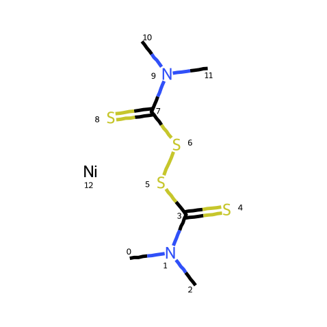 CN(C)C(=S)SSC(=S)N(C)C.[Ni]